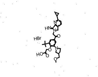 Br.COCC1CCN(c2cc(C(=O)CN3Cc4ccc(C5CC5)nc4C3=N)cc(C(C)(C)C)c2OCC(=O)O)C1